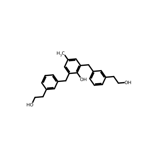 Cc1cc(Cc2cccc(CCO)c2)c(O)c(Cc2cccc(CCO)c2)c1